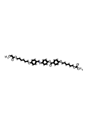 C=CC(=O)OCCCCCCOc1ccc(/C=N/c2ccc(OC(=O)c3ccc(OCCCCCCOC(C)=O)cc3)cc2)cc1